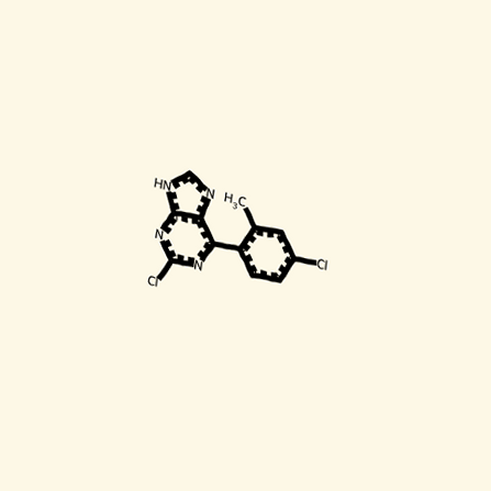 Cc1cc(Cl)ccc1-c1nc(Cl)nc2[nH]cnc12